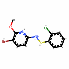 COc1nc(NSc2ccccc2Cl)ccc1Br